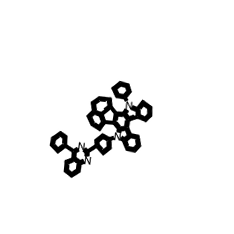 c1ccc(-c2nc(-c3ccc(-n4c5ccccc5c5c6c7ccccc7n(-c7ccccc7)c6c6c(c54)-c4cccc5cccc-6c45)cc3)nc3ccccc23)cc1